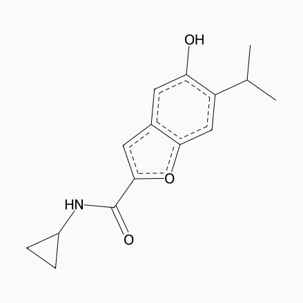 CC(C)c1cc2oc(C(=O)NC3CC3)cc2cc1O